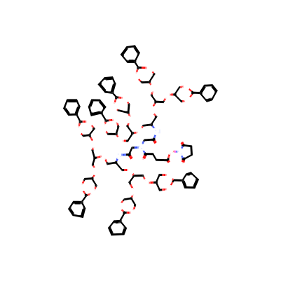 O=C(CN(CC(=O)NC(COC(COC1COC(c2ccccc2)OC1)COC1COC(c2ccccc2)OC1)COC(COC1COC(c2ccccc2)OC1)COC1COC(c2ccccc2)OC1)C(=O)CCC(=O)ON1C(=O)CCC1=O)NC(COC(COC1COC(c2ccccc2)OC1)COC1COC(c2ccccc2)OC1)COC(COC1COC(c2ccccc2)OC1)COC1COC(c2ccccc2)OC1